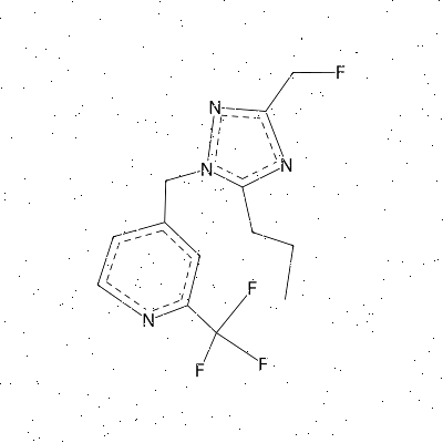 CCCc1nc(CF)nn1Cc1ccnc(C(F)(F)F)c1